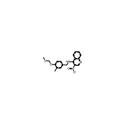 COCOc1ccc(CNc2c([N+](=O)[O-])cnc3ccccc23)cc1C